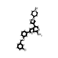 CC(=O)N1CCC(n2cc(-c3cnc(N)c4oc(-c5cccc(OCc6cccc(Cl)c6)c5)cc34)cn2)CC1